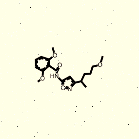 COCCCC(C)c1cc(NC(=O)c2c(OC)cccc2OC)on1